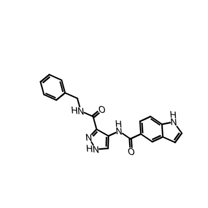 O=C(Nc1c[nH]nc1C(=O)NCc1ccccc1)c1ccc2[nH]ccc2c1